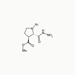 CC(=O)N1CC[C@H](C(=O)OC(C)(C)C)[C@H]1C(=O)NN